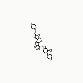 CN1CCN(CCn2cc3c(n2)CCc2c-3sc3ncnc(Nc4ccc(N5CCOCC5)c(Cl)c4)c23)CC1